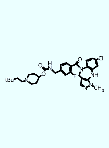 Cn1ncc2c1Nc1cc(Cl)ccc1N(C(=O)c1ccc(CNC(=O)OC3CCN(CCC(C)(C)C)CC3)cc1F)C2